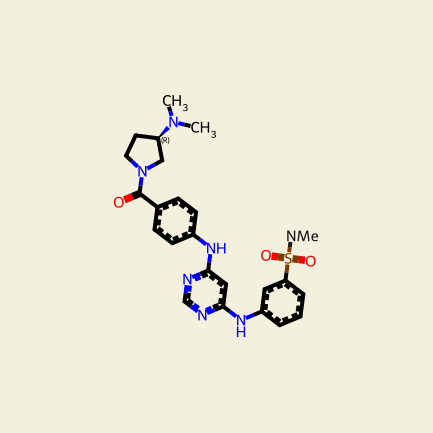 CNS(=O)(=O)c1cccc(Nc2cc(Nc3ccc(C(=O)N4CC[C@@H](N(C)C)C4)cc3)ncn2)c1